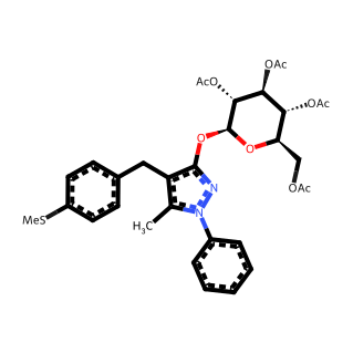 CSc1ccc(Cc2c(O[C@@H]3O[C@H](COC(C)=O)[C@@H](OC(C)=O)[C@H](OC(C)=O)[C@H]3OC(C)=O)nn(-c3ccccc3)c2C)cc1